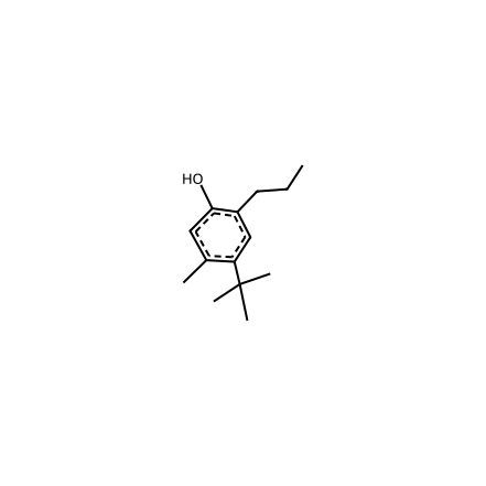 CCCc1cc(C(C)(C)C)c(C)cc1O